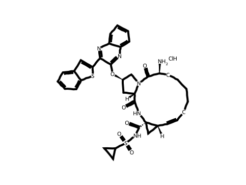 Cl.N[C@H]1CCCCCC=C[C@@H]2C[C@@]2(C(=O)NS(=O)(=O)C2CC2)NC(=O)[C@@H]2C[C@@H](Oc3nc4ccccc4nc3-c3cc4ccccc4s3)CN2C1=O